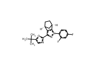 CC(C)(C)c1cnc(-c2nn(-c3ccc(F)cc3F)c3c2[C@H]2CC[C@@H]3C2)o1